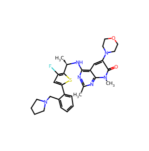 Cc1nc(N[C@H](C)c2sc(-c3ccccc3CN3CCCC3)cc2F)c2cc(N3CCOCC3)c(=O)n(C)c2n1